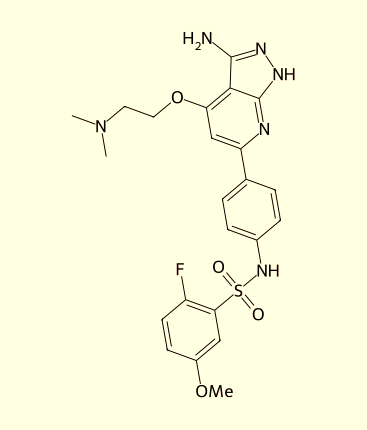 COc1ccc(F)c(S(=O)(=O)Nc2ccc(-c3cc(OCCN(C)C)c4c(N)n[nH]c4n3)cc2)c1